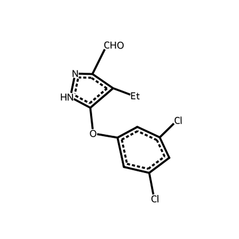 CCc1c(C=O)n[nH]c1Oc1cc(Cl)cc(Cl)c1